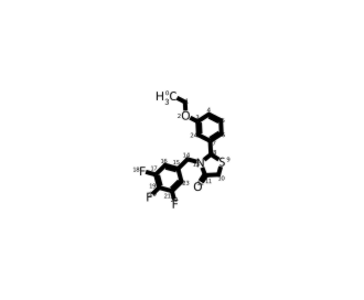 CCOc1cccc(C2SCC(=O)N2Cc2cc(F)c(F)c(F)c2)c1